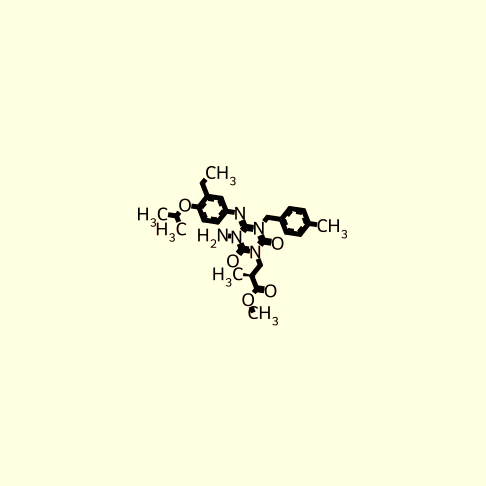 CCc1cc(/N=c2\n(N)c(=O)n(C[C@H](C)C(=O)OC)c(=O)n2Cc2ccc(C)cc2)ccc1OC(C)C